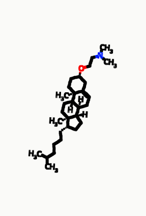 CC(C)CCCC[C@H]1CC[C@H]2[C@@H]3CC=C4C[C@@H](OCCN(C)C)CC[C@]4(C)[C@H]3CC[C@]12C